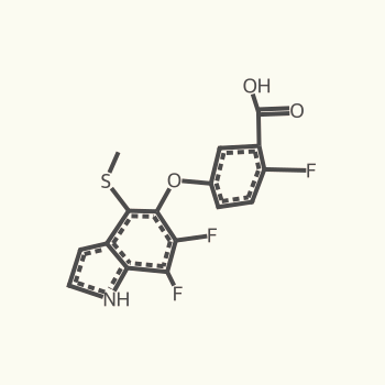 CSc1c(Oc2ccc(F)c(C(=O)O)c2)c(F)c(F)c2[nH]ccc12